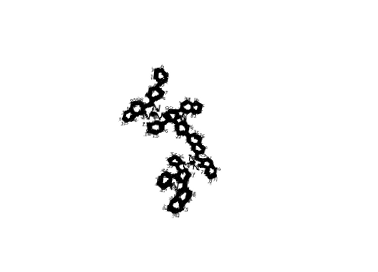 c1ccc(-c2ccc(-c3nc(-n4c5ccccc5c5c6c7ccc(-c8ccc9ccc(-c%10nc(-n%11c%12ccccc%12c%12c%13c%14ccccc%14n%14c%15c%16ccccc%16ccc%15c(cc%12%11)c%13%14)nc%11c%10ccc%10ccccc%10%11)cc9c8)cc7n7c8c9ccccc9ccc8c(cc54)c67)nc4c3ccc3ccccc34)cc2)cc1